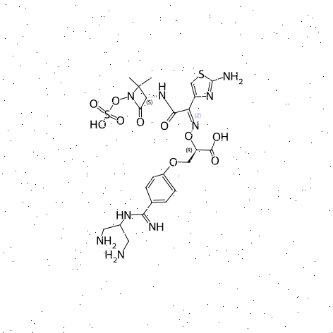 CC1(C)[C@H](NC(=O)/C(=N\O[C@H](COc2ccc(C(=N)NC(CN)CN)cc2)C(=O)O)c2csc(N)n2)C(=O)N1OS(=O)(=O)O